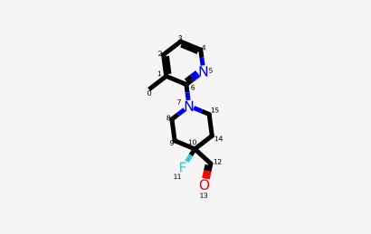 Cc1cccnc1N1CCC(F)(C=O)CC1